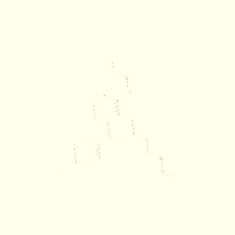 C=CC(=O)NCC1Cc2c(NC(=O)OC(C)(C)C)cccc2N(c2ccc(C(F)(F)F)cc2)C1